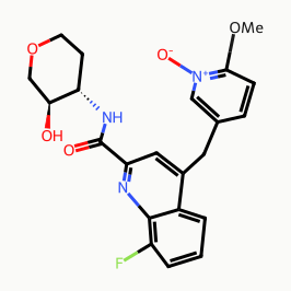 COc1ccc(Cc2cc(C(=O)N[C@H]3CCOC[C@@H]3O)nc3c(F)cccc23)c[n+]1[O-]